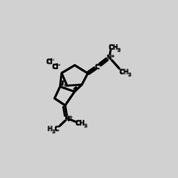 C[N+](C)=C=C1CC2=C3CC(=[N+](C)C)C3=C1[C]2.[Cl-].[Cl-]